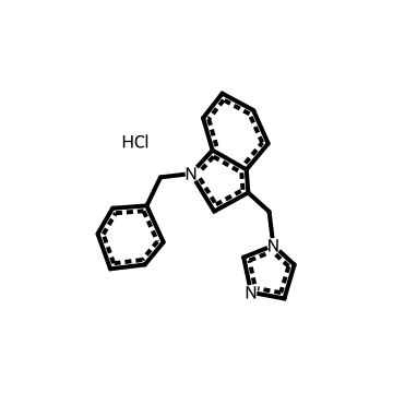 Cl.c1ccc(Cn2cc(Cn3ccnc3)c3ccccc32)cc1